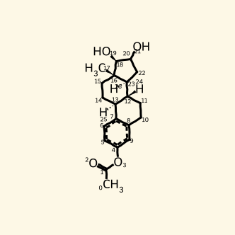 CC(=O)Oc1ccc2c(c1)CC[C@@H]1[C@@H]2CC[C@]2(C)[C@@H](O)C(O)C[C@@H]12